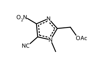 CC(=O)OCc1nc([N+](=O)[O-])c(C#N)n1C